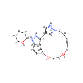 C1=C\COCCOc2ccc3c(c2)c(nn3C2CCCCO2)-c2cnn(c2)CC/1